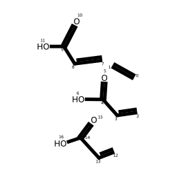 C=C.C=CC(=O)O.C=CC(=O)O.C=CC(=O)O